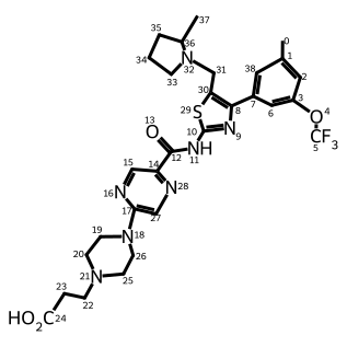 Cc1cc(OC(F)(F)F)cc(-c2nc(NC(=O)c3cnc(N4CCN(CCC(=O)O)CC4)cn3)sc2CN2CCCC2C)c1